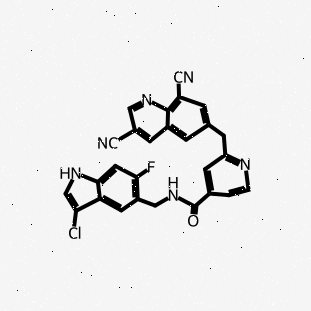 N#Cc1cnc2c(C#N)cc(Cc3cc(C(=O)NCc4cc5c(Cl)c[nH]c5cc4F)ccn3)cc2c1